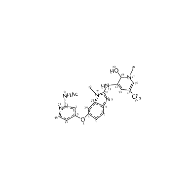 CC(=O)Nc1cc(Oc2ccc3nc(NC4=CC(C(F)(F)F)=CN(C)C4O)n(C)c3c2)ccn1